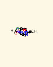 CC(=O)NC[C@@H](Cc1ccc(C#N)cc1)NC(=O)c1cc(-c2ccc(CNC(C)c3ccc(C)cc3)o2)ccc1Cl